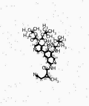 Cc1c(-c2cc3cc(NC(=O)C4C(C)C4CC#N)ncc3c(NC(=O)OC(C)(C)C)c2F)cncc1N(C(=O)OC(C)(C)C)C(=O)OC(C)(C)C